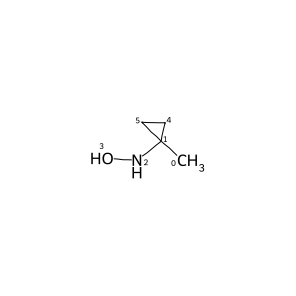 CC1(NO)CC1